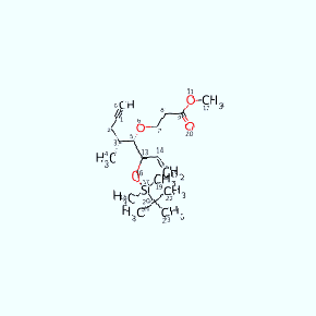 C#CC[C@@H](C)[C@H](OCCC(=O)OC)C(C=C)O[Si](C)(C)C(C)(C)C